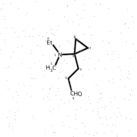 CCN(C)C1(CCC=O)CC1